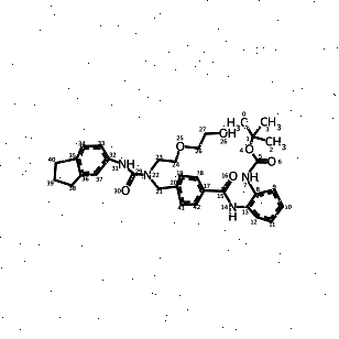 CC(C)(C)OC(=O)Nc1ccccc1NC(=O)c1ccc(CN(CCOCCO)C(=O)Nc2ccc3c(c2)CCC3)cc1